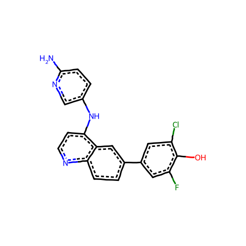 Nc1ccc(Nc2ccnc3ccc(-c4cc(F)c(O)c(Cl)c4)cc23)cn1